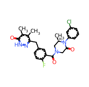 Cc1c(Cc2ccc(F)c(C(=O)N3CC(=O)N(c4cccc(Cl)c4)[C@H](C)C3)c2)n[nH]c(=O)c1C